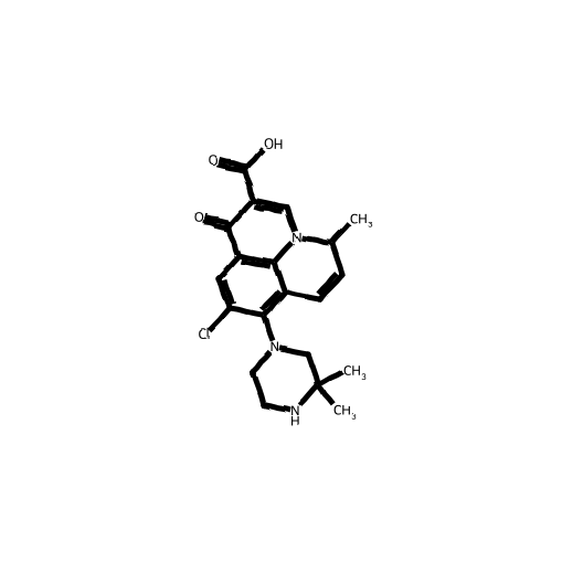 CC1C=Cc2c(N3CCNC(C)(C)C3)c(Cl)cc3c(=O)c(C(=O)O)cn1c23